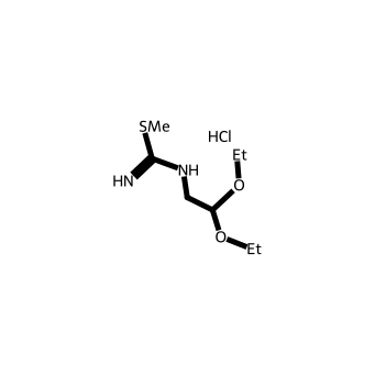 CCOC(CNC(=N)SC)OCC.Cl